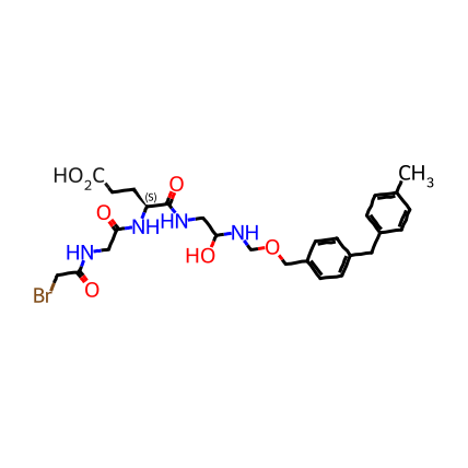 Cc1ccc(Cc2ccc(COCNC(O)CNC(=O)[C@H](CCC(=O)O)NC(=O)CNC(=O)CBr)cc2)cc1